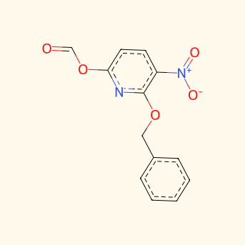 O=COc1ccc([N+](=O)[O-])c(OCc2ccccc2)n1